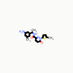 Cc1ccc(-n2nc(C(=O)N[C@H](C)c3cc(N)cc(C(F)(F)F)c3)ccc2=O)s1